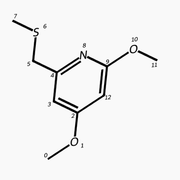 COc1cc(CSC)nc(OC)c1